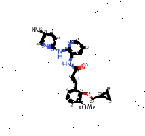 COc1cccc(/C=C/C(=O)Nc2cccnc2Nc2ccc(C#N)cn2)c1OCC1CC1